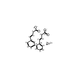 O=C([O-])CC=Cc1ccccc1.O=C([O-])CC=Cc1ccccc1.[Zn+2]